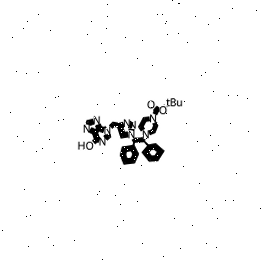 CC(C)(C)OC(=O)N1CCN([C@@H](c2ccccc2)[C@@H](c2ccccc2)n2cc(Cn3cnc(O)c4ncnc3-4)nn2)CC1